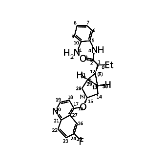 CCC(C(=O)Nc1ccccc1N)[C@H]1[C@@H]2C[C@@H](Oc3ccnc4ccc(F)cc34)C[C@@H]21